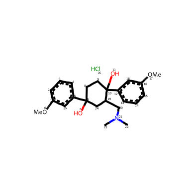 COc1cccc(C2(O)CCC(O)(c3cccc(OC)c3)C(CN(C)C)C2)c1.Cl